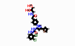 O=C(Cc1ccc(-n2nc(-c3cccs3)cc2NC(=O)Nc2cccc(Cl)c2Cl)cc1)NCC(O)CO